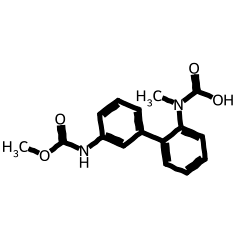 COC(=O)Nc1cccc(-c2ccccc2N(C)C(=O)O)c1